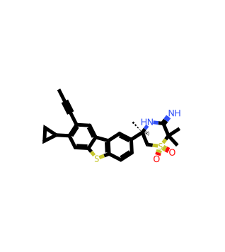 CC#Cc1cc2c(cc1C1CC1)sc1ccc([C@]3(C)CS(=O)(=O)C(C)(C)C(=N)N3)cc12